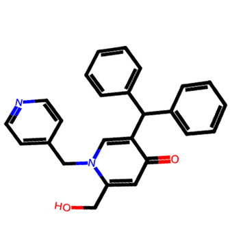 O=c1cc(CO)n(Cc2ccncc2)cc1C(c1ccccc1)c1ccccc1